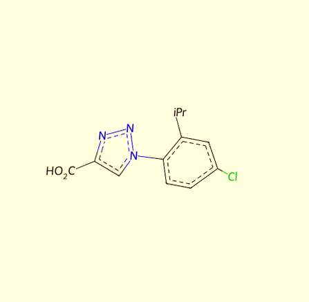 CC(C)c1cc(Cl)ccc1-n1cc(C(=O)O)nn1